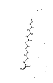 C=C(C)CCCCCCCCCCCCCSC